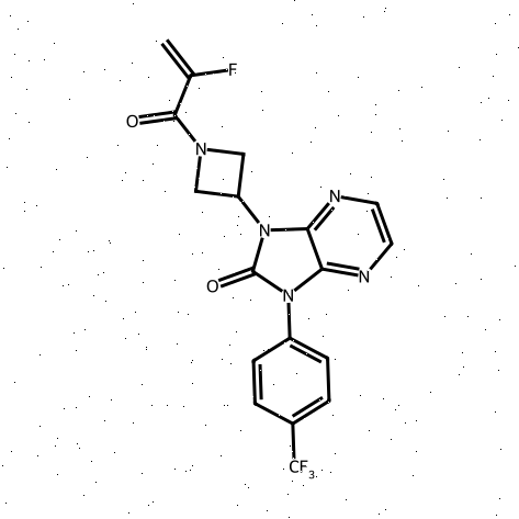 C=C(F)C(=O)N1CC(n2c(=O)n(-c3ccc(C(F)(F)F)cc3)c3nccnc32)C1